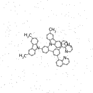 Cc1ccc2c(c1)c1cc(C)ccc1n2-c1ccc(-c2cc(-c3cccc4cccnc34)cc(-c3cccc4cccnc34)c2)c(-n2c3ccc(C)cc3c3cc(C)ccc32)c1